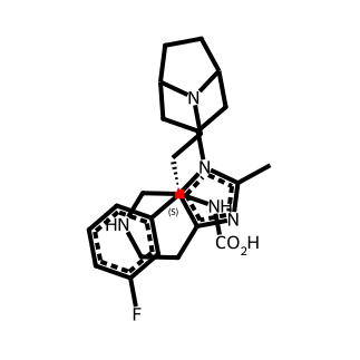 Cc1nc2c(n1C1CC3CCC(C1)N3CC[C@H](NC(=O)O)c1cccc(F)c1)CNCC2